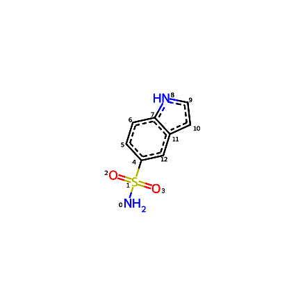 NS(=O)(=O)c1ccc2[nH]ccc2c1